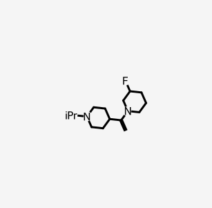 C=C(C1CCN(C(C)C)CC1)N1CCCC(F)C1